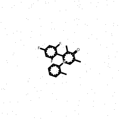 Cc1ccccc1-n1cc(C)c(=O)c(C)c1-c1c(F)cc(F)cc1F